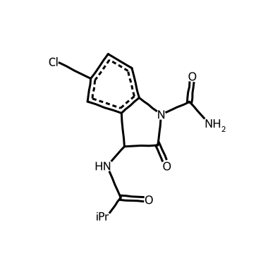 CC(C)C(=O)NC1C(=O)N(C(N)=O)c2ccc(Cl)cc21